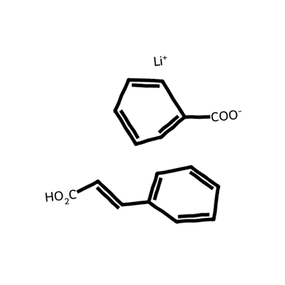 O=C(O)/C=C/c1ccccc1.O=C([O-])c1ccccc1.[Li+]